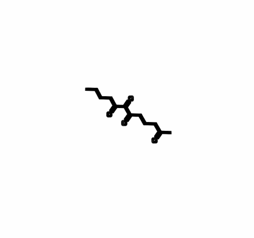 CCCCC(=O)C(=O)C(=O)CCCC(C)=O